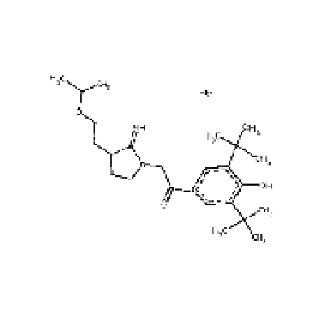 Br.CC(C)OCCC1CCN(CC(=O)c2cc(C(C)(C)C)c(O)c(C(C)(C)C)c2)C1=N